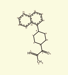 CC(=N)C(=O)C1CCC(c2cccc3ncccc23)CC1